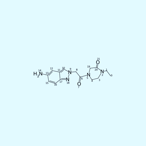 CCN1CCN(C(=O)Cn2cc3cc(N)ccc3n2)CC1=O